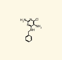 Nc1nc(Cl)c(N)c(NCc2ccccc2)n1